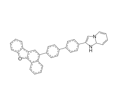 C1=CC2NC(c3ccc(-c4ccc(-c5cc6c7ccccc7oc6c6ccccc56)cc4)cc3)=CN2C=C1